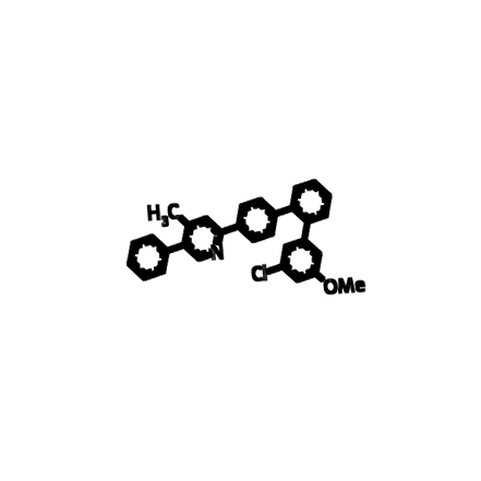 COc1cc(Cl)cc(-c2ccccc2-c2ccc(-c3cc(C)c(-c4ccccc4)cn3)cc2)c1